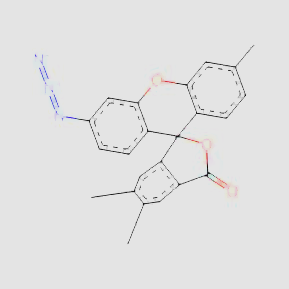 Cc1ccc2c(c1)Oc1cc(N=[N+]=[N-])ccc1C21OC(=O)c2cc(C)c(C)cc21